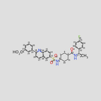 C[C@@H](NC(=O)C1CCC(NS(=O)(=O)c2ccc3nc(-c4cccc(C(=O)O)c4)ccc3c2)CC1)c1ccc(F)cc1